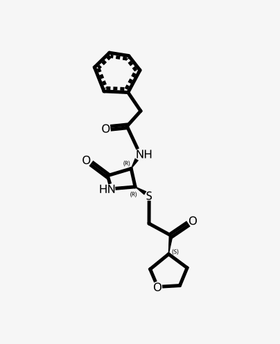 O=C(Cc1ccccc1)N[C@@H]1C(=O)N[C@@H]1SCC(=O)[C@H]1CCOC1